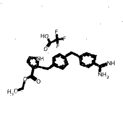 CCOC(=O)c1cc[nH]c1Cc1ccc(Cc2ccc(C(=N)N)cc2)cc1.O=C(O)C(F)(F)F